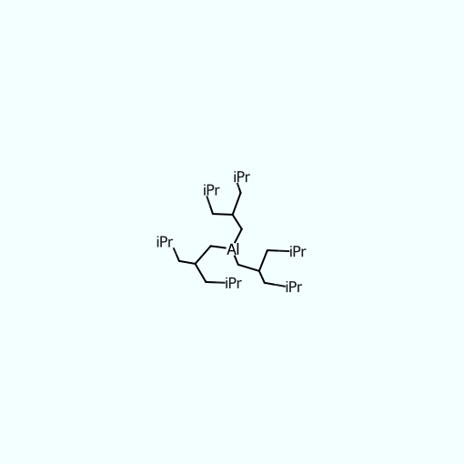 CC(C)CC(CC(C)C)[CH2][Al]([CH2]C(CC(C)C)CC(C)C)[CH2]C(CC(C)C)CC(C)C